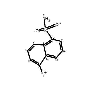 [NH]c1cccc2c(S(N)(=O)=O)cccc12